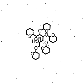 OC(C1SCCCS1)[C@H](OC1CCCCO1)[C@@H](OC1CCCCO1)[C@H](OC1CCCCO1)[C@H](O)COC1CCCCO1